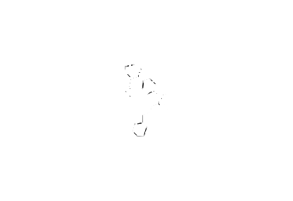 CN(C(=O)CCCc1ccccc1)c1ccc(-c2ccccc2C#N)cc1